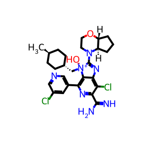 C[C@H]1CC[C@H](C[N+]2(O)C(N3CCO[C@@H]4CCC[C@H]43)=Nc3c(Cl)c(C(=N)N)nc(-c4cncc(Cl)c4)c32)CC1